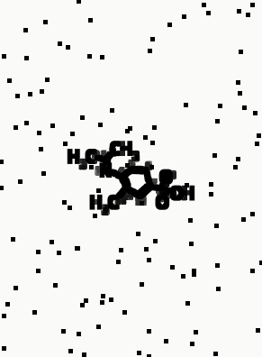 CC(C)=Nc1ccc(S(=O)(=O)O)cc1C